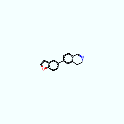 C1=NCCc2cc(-c3ccc4occc4c3)ccc21